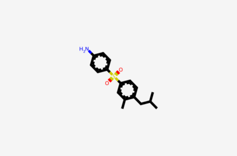 Cc1cc(S(=O)(=O)c2ccc(N)cc2)ccc1CC(C)C